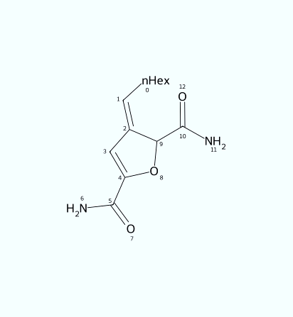 CCCCCCC=C1C=C(C(N)=O)OC1C(N)=O